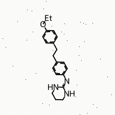 CCOc1ccc(CCc2ccc(N=C3NCCCN3)cc2)cc1